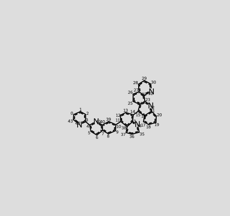 c1ccc(-c2ccc3ccc(-c4ccc(-c5c6ccccc6nc6c5ccc5cccnc56)c5ncccc45)cc3n2)nc1